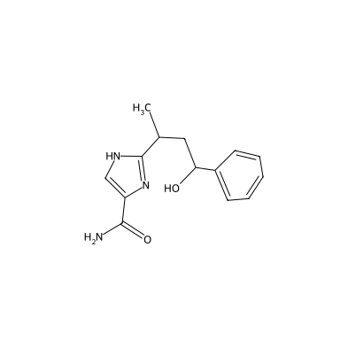 CC(CC(O)c1ccccc1)c1nc(C(N)=O)c[nH]1